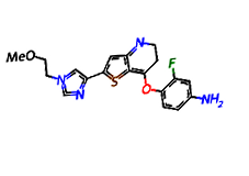 COCCn1cnc(-c2cc3c(s2)=C(Oc2ccc(N)cc2F)CCN=3)c1